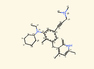 C=C1NC(C)=CC(C)=C1Cc1cc(C#CCN(C)C)cc(N(CC)C2CCCCC2)c1C